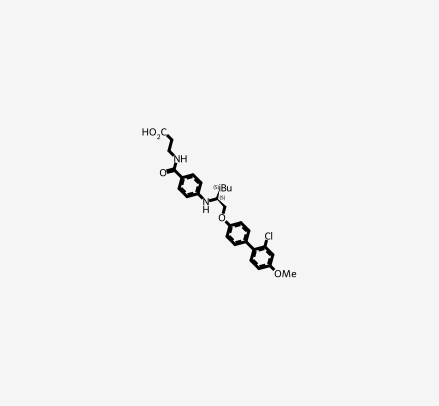 CC[C@H](C)[C@@H](COc1ccc(-c2ccc(OC)cc2Cl)cc1)Nc1ccc(C(=O)NCCC(=O)O)cc1